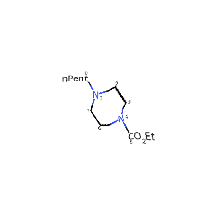 [CH2]CCCCN1CCN(C(=O)OCC)CC1